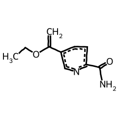 C=C(OCC)c1ccc(C(N)=O)nc1